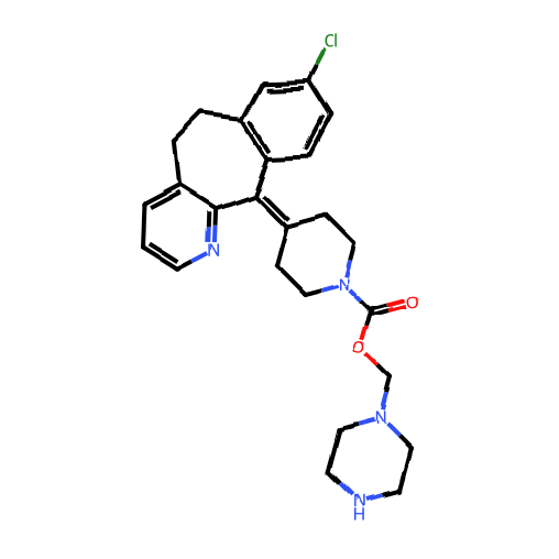 O=C(OCN1CCNCC1)N1CCC(=C2c3ccc(Cl)cc3CCc3cccnc32)CC1